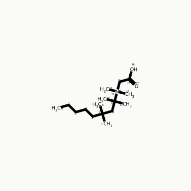 CCCCCC(C)(C)CC(C)(C)[N+](C)(C)CC(=O)O